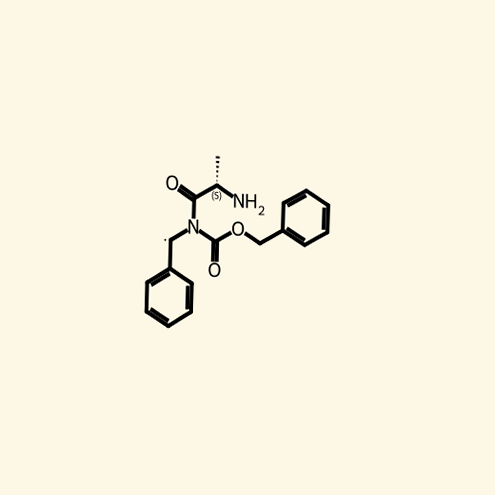 C[C@H](N)C(=O)N([CH]c1ccccc1)C(=O)OCc1ccccc1